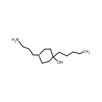 CCCCCC1(O)CCN(CCCN)CC1